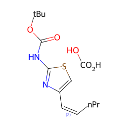 CCC/C=C\c1csc(NC(=O)OC(C)(C)C)n1.O=C(O)O